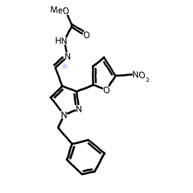 COC(=O)N/N=C/c1cn(Cc2ccccc2)nc1-c1ccc([N+](=O)[O-])o1